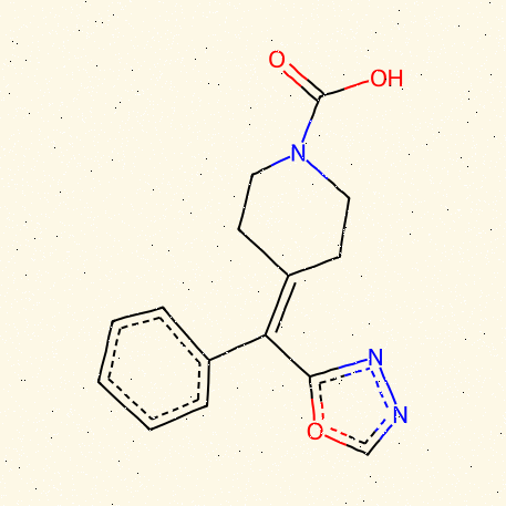 O=C(O)N1CCC(=C(c2ccccc2)c2nnco2)CC1